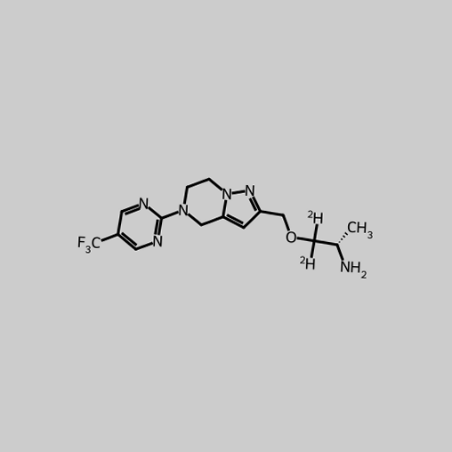 [2H]C([2H])(OCc1cc2n(n1)CCN(c1ncc(C(F)(F)F)cn1)C2)[C@H](C)N